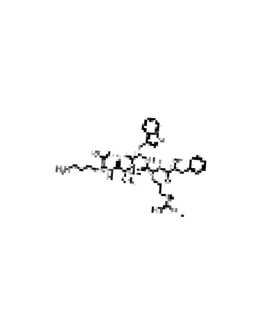 C[C@H](NC(=O)[C@H](Cc1c[nH]c2ccccc12)NC(=O)[C@H](CCCNC(=N)N)NC(=O)[C@@H](N)Cc1ccccc1)C(=O)N[C@@H](CCCCN)C(=O)O